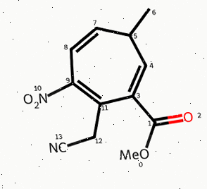 COC(=O)C1=CC(C)C=CC([N+](=O)[O-])=C1CC#N